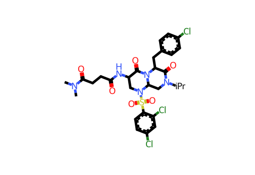 CC(C)N1CC2N(C(=O)C(NC(=O)CCC(=O)N(C)C)CN2S(=O)(=O)c2ccc(Cl)cc2Cl)C(Cc2ccc(Cl)cc2)C1=O